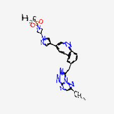 Cc1cnc2nnc(Cc3ccc4ncc(-c5cnn(C6CN(S(C)(=O)=O)C6)c5)cc4c3)n2n1